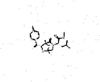 COC(=O)[C@H](CC(C)C)N1C[C@@H]2O[C@H](C(=O)N3CCN(C)CC3)[C@@H](O2)C1=O